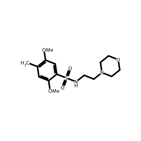 COc1cc(S(=O)(=O)NCCN2CCOCC2)c(OC)cc1C